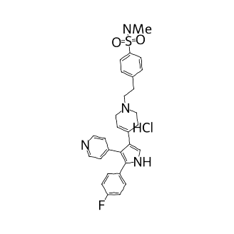 CNS(=O)(=O)c1ccc(CCN2CC=C(c3c[nH]c(-c4ccc(F)cc4)c3-c3ccncc3)CC2)cc1.Cl